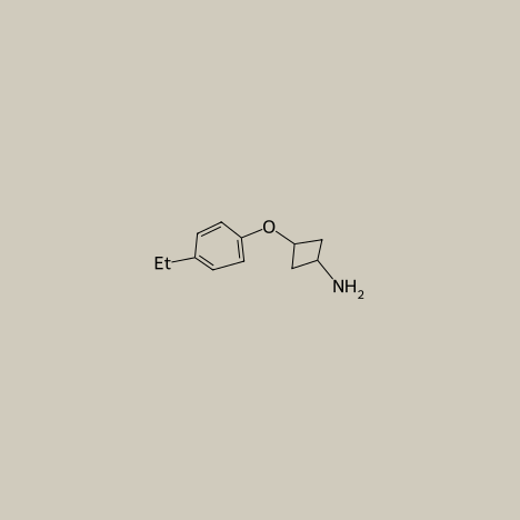 CCc1ccc(OC2CC(N)C2)cc1